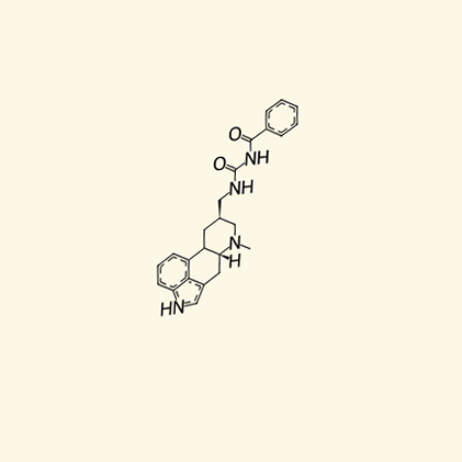 CN1C[C@H](CNC(=O)NC(=O)c2ccccc2)CC2c3cccc4[nH]cc(c34)C[C@H]21